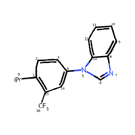 CC(C)c1ccc(-n2cnc3ccccc32)cc1C(F)(F)F